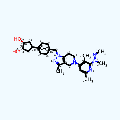 C=NN(C)c1nc(C)cc(N2CCc3c(c(C)nn3CC34CCC(C5C[C@H](O)[C@@H](O)C5)(CC3)CC4)C2)c1C